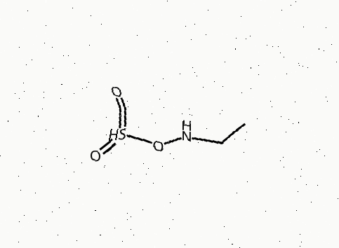 CCNO[SH](=O)=O